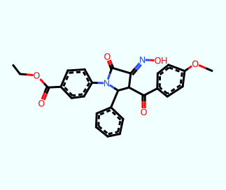 CCOC(=O)c1ccc(N2C(=O)/C(=N/O)C(C(=O)c3ccc(OC)cc3)C2c2ccccc2)cc1